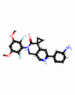 COc1cc(OC)c(F)c(N2Cc3cnc(-c4cccc(N)c4)cc3C3(CC3)C2=O)c1F